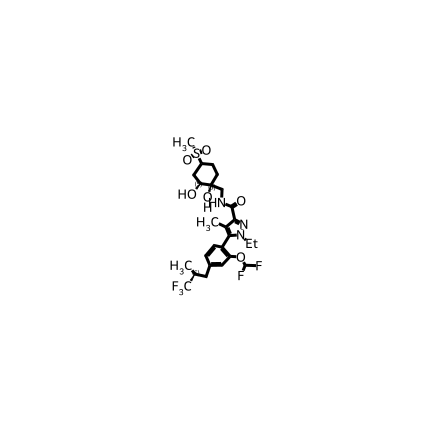 CCn1nc(C(=O)NC[C@@]2(O)CCC(S(C)(=O)=O)C[C@@H]2O)c(C)c1-c1ccc(C[C@H](C)C(F)(F)F)cc1OC(F)F